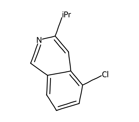 CC(C)c1cc2c(Cl)cccc2cn1